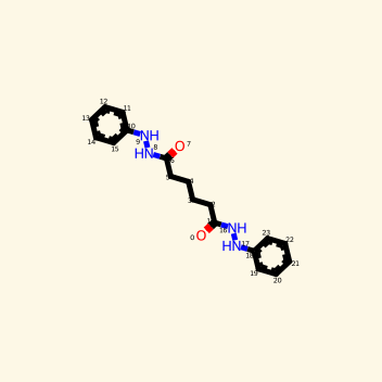 O=C(CCCCC(=O)NNc1ccccc1)NNc1ccccc1